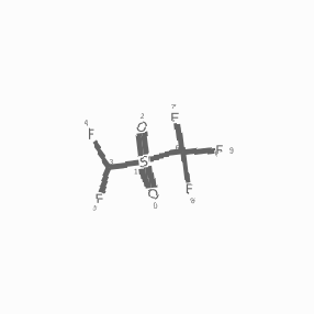 O=S(=O)([C](F)F)C(F)(F)F